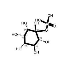 O=P(O)(O)O[C@]1(O)[C@H](O)[C@@H](O)[C@H](O)[C@H](O)[C@@H]1O